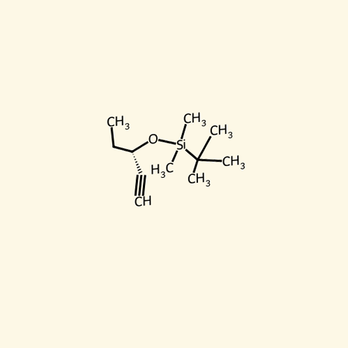 C#C[C@H](CC)O[Si](C)(C)C(C)(C)C